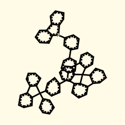 c1ccc(C2(c3ccc(N(c4ccc(-c5cccc(-n6c7ccccc7c7ccccc76)c5)cc4)c4cccc5c4C4(c6ccccc6-c6ccccc64)c4ccccc4-5)cc3)c3ccccc3-c3ccccc32)cc1